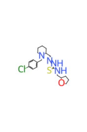 S=C(NCC1CCCO1)NN=CC1CCCCN1Cc1ccc(Cl)cc1